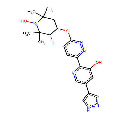 CC1(C)C[C@H](Oc2ccc(-c3ncc(-c4cn[nH]c4)cc3O)nn2)[C@H](F)C(C)(C)N1O